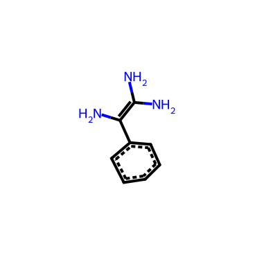 NC(N)=C(N)c1ccccc1